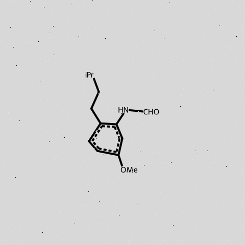 COc1ccc(CCC(C)C)c(NC=O)c1